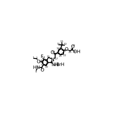 Br.CCOc1c(C(=O)NC)cc2c(c1F)CN(CC(=O)c1ccc(OCC(=O)O)c(C(C)(C)C)c1)C2=N